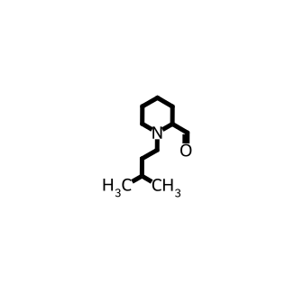 CC(C)CCN1CCCCC1C=O